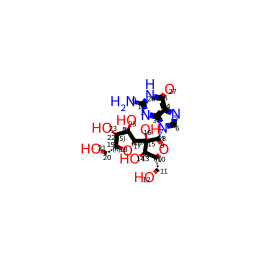 Nc1nc2c(ncn2[C@@H]2O[C@H](CO)[C@@H](O)[C@]2(O)[C@@H]2O[C@H](CO)[C@@H](O)[C@H]2O)c(=O)[nH]1